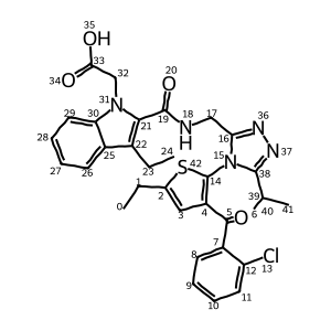 CCc1cc(C(=O)c2ccccc2Cl)c(-n2c(CNC(=O)c3c(CC)c4ccccc4n3CC(=O)O)nnc2C(C)C)s1